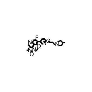 CC1CCN(CCCOc2ccc(-c3c(F)cc4ncc5c6c4c3OCCn6c(=O)n5C)cn2)CC1